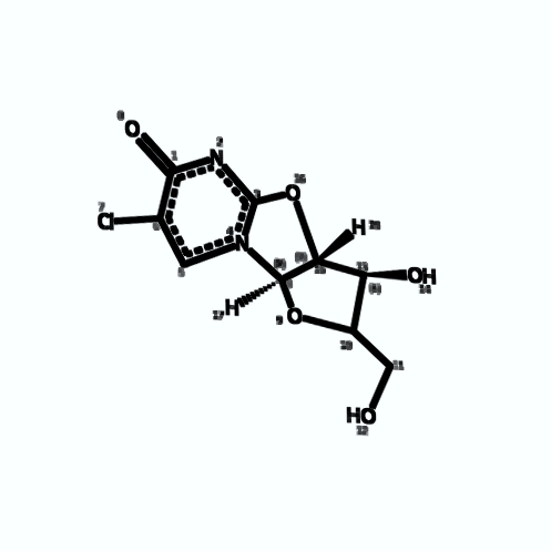 O=c1nc2n(cc1Cl)[C@@H]1OC(CO)[C@H](O)[C@H]1O2